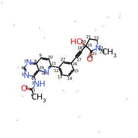 CC(=O)Nc1ncnc2ccc(-c3cccc(C#C[C@]4(O)CCN(C)C4=O)c3)nc12